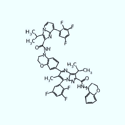 Cc1c(-c2ccc3c(c2)OCCN3NC(=O)c2nc3c(-c4cc(F)cc(F)c4F)cccn3c2C(C)C)nc2c(C(C)C)c(C(=O)NN3CCOc4ccccc43)nn2c1-c1cc(F)cc(F)c1F